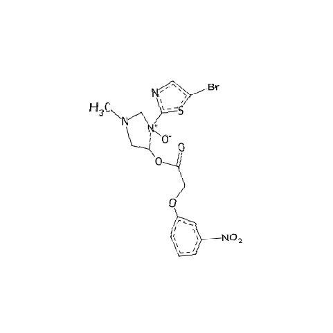 CN1CC(OC(=O)COc2cccc([N+](=O)[O-])c2)[N+]([O-])(c2ncc(Br)s2)C1